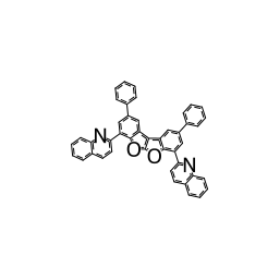 c1ccc(-c2cc(-c3ccc4ccccc4n3)c3oc4oc5c(-c6ccc7ccccc7n6)cc(-c6ccccc6)cc5c4c3c2)cc1